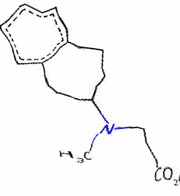 CN(CC(=O)O)C1CCc2ccccc2C1